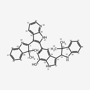 CC1(C)C(c2c(-c3cc(O)c4[nH]cc(C5Nc6ccccc6C5(C)C)c4c3)[nH]c3ncccc23)=Nc2ccccc21